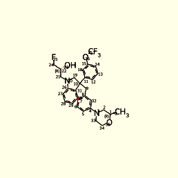 C[C@@H]1CN(c2cccc(CC3(c4cccc(OC(F)(F)F)c4)CN(C[C@@H](O)CF)c4ccccc43)c2)CCO1